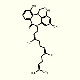 CCN1c2c(O)cccc2C(=O)N(CC=C(C)CCC=C(C)CCC=C(C)C)c2cc(O)cc(O)c21